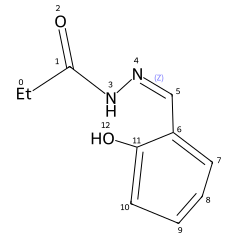 CCC(=O)N/N=C\c1ccccc1O